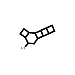 SC1CC2C(C3CCC13)C1C3CCC3C21